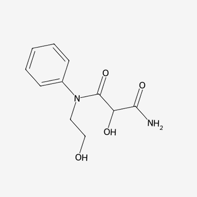 NC(=O)C(O)C(=O)N(CCO)c1ccccc1